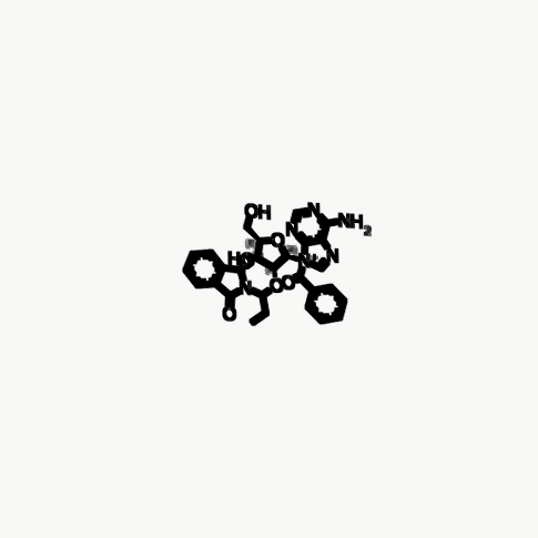 CCC(O[C@@H]1[C@H](O)[C@@H](CO)O[C@H]1[N+]1(C(=O)c2ccccc2)C=Nc2c(N)ncnc21)N1C(=O)c2ccccc2C1=O